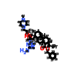 CC[C@@H]1CC[C@H]2C(=CC[C@@]3(C)[C@H](C(=O)OCc4ccccc4)[C@@](C)([C@H](C)C(C)C)CC[C@]23C)[C@@]1(CO)CC(C)(COCCN1CCN(C)CC1)n1nnc(N)n1